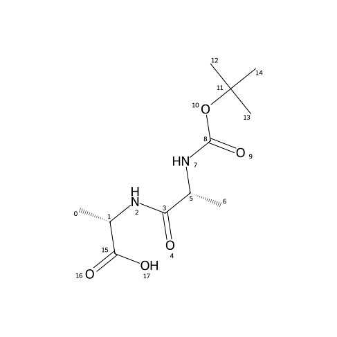 C[C@H](NC(=O)[C@@H](C)NC(=O)OC(C)(C)C)C(=O)O